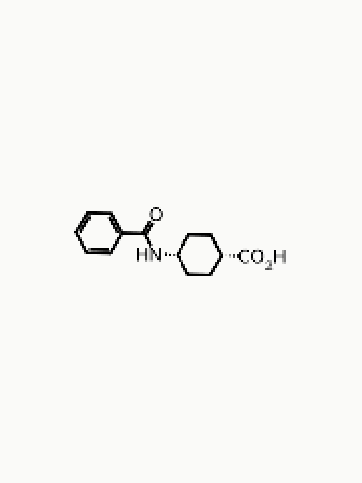 O=C(N[C@H]1CC[C@@H](C(=O)O)CC1)c1ccccc1